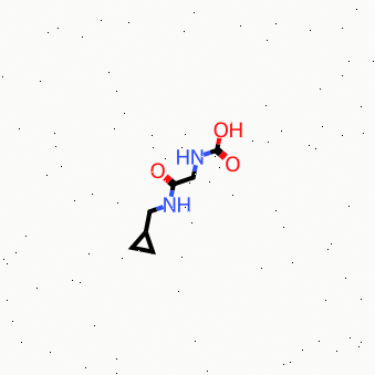 O=C(O)NCC(=O)NCC1CC1